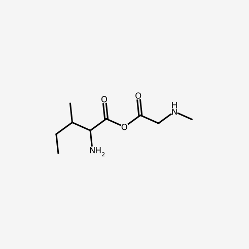 CCC(C)C(N)C(=O)OC(=O)CNC